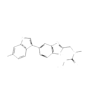 CN(Cc1nc2cc(-c3c[nH]c4cc(F)ccc34)ccc2[nH]1)C(=O)OC(C)(C)C